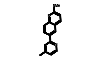 CNc1ccc2cc(-c3cc(C)ccn3)ccc2n1